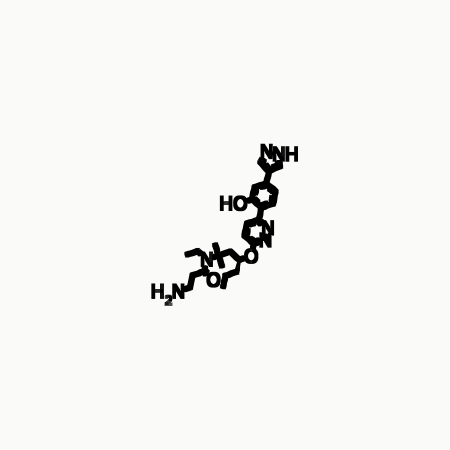 CCC[C@@H](CC(C)(C)N(CC)C(=O)CCN)Oc1ccc(-c2ccc(-c3cn[nH]c3)cc2O)nn1